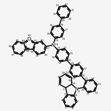 C1=CC2c3ccccc3N(c3ccccc3-c3ccc(-c4ccc(N(c5ccc(-c6ccccc6)cc5)c5ccc6c(c5)oc5ccccc56)cc4)cc3)C2C=C1